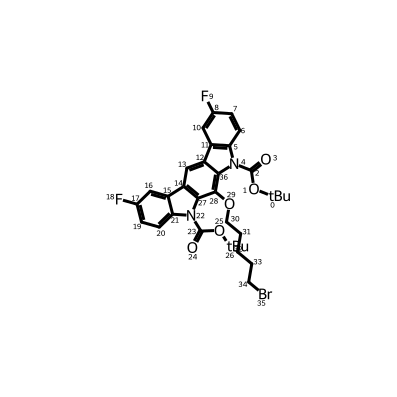 CC(C)(C)OC(=O)n1c2ccc(F)cc2c2cc3c4cc(F)ccc4n(C(=O)OC(C)(C)C)c3c(OCCCCCBr)c21